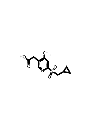 Cc1cc(S(=O)(=O)CC2CC2)ncc1CC(=O)O